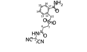 N#CC(C#N)NC(=O)[CH]CS(=O)(=O)Cc1ccccc1C(N)=O